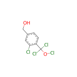 OCc1ccc(C(Cl)(Cl)OCl)c(Cl)c1